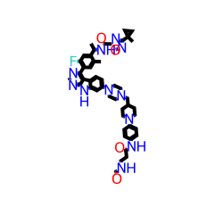 Cc1cc(-c2ncnc3[nH]c4cc(N5CCN(CC6CCN(c7ccc(NC(=O)CCNC=O)cc7)CC6)CC5)ccc4c23)c(F)cc1C(C)NC(=O)c1nc(C2(C)CC2)no1